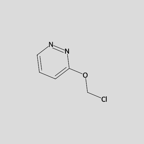 ClCOc1cccnn1